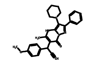 C#CC(c1ccc(OC)cc1)c1c(C)[nH]c2c(N3CCCCC3)c(-c3ccccc3)nn2c1=O